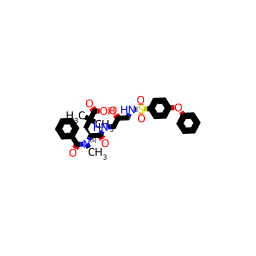 CN(C(=O)c1ccccc1)[C@@H](CC(C)(C)C(=O)O)C(=O)NCC(=O)CNS(=O)(=O)c1ccc(Oc2ccccc2)cc1